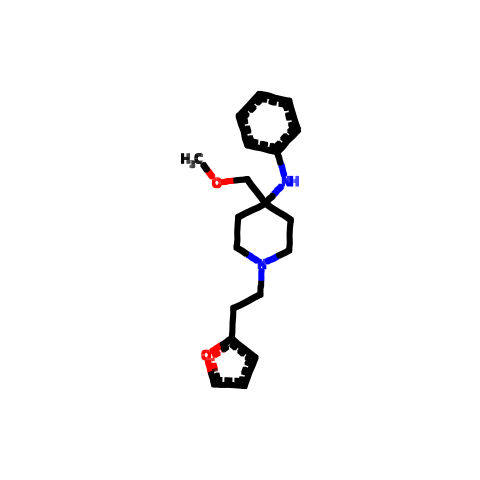 COCC1(Nc2ccccc2)CCN(CCc2ccco2)CC1